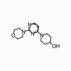 OC1CCN(c2ccnc(N3CCOCC3)n2)CC1